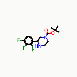 CC(C)(C)OC(=O)N1CCNC(c2ccc(F)c(F)c2F)C1